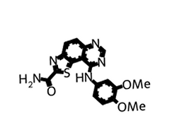 COc1ccc(Nc2ncnc3ccc4nc(C(N)=O)sc4c23)cc1OC